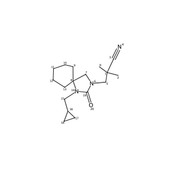 CC(C)(C#N)CN1CC2(CCCCC2)N(CC2CC2)C1=O